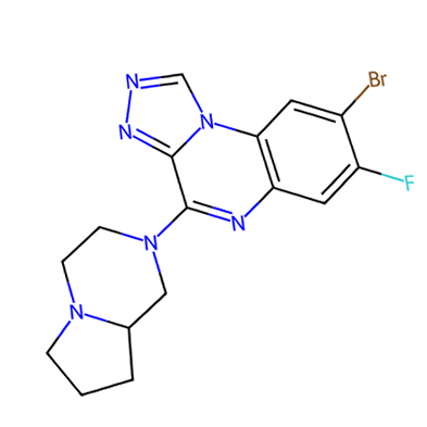 Fc1cc2nc(N3CCN4CCCC4C3)c3nncn3c2cc1Br